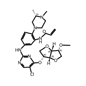 C=CC(=O)Nc1cc(Nc2ncc(Cl)c(O[C@@H]3CO[C@H]4[C@@H]3OC[C@H]4OC)n2)ccc1N1CCN(C)[C@@H](C)C1